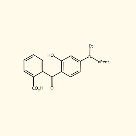 CCCCCN(CC)c1ccc(C(=O)c2ccccc2C(=O)O)c(O)c1